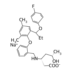 CCC(Oc1ccc(F)cc1)c1cc(C)cc(C)c1Oc1ccccc1CN[C@@H](CC(=O)[O-])C[C@H](C)O.[Na+]